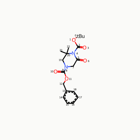 CC(C)(C)OC(=O)N1C(=O)CN(C(=O)OCc2ccccc2)CC1(C)C